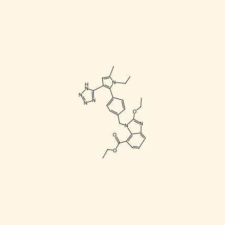 CCOC(=O)c1cccc2nc(OCC)n(Cc3ccc(-c4c(-c5nnn[nH]5)cc(C)n4CC)cc3)c12